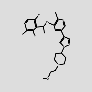 COCCN1CCC(n2cc(-c3cnc(C)c(OC(C)c4c(Cl)ccc(F)c4Cl)c3)cn2)CC1